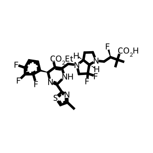 CCOC(=O)C1=C(CN2CC(F)(F)[C@H]3[C@@H]2CCN3C[C@@H](F)C(C)(C)C(=O)O)NC(c2nc(C)cs2)=N[C@H]1c1ccc(F)c(F)c1F